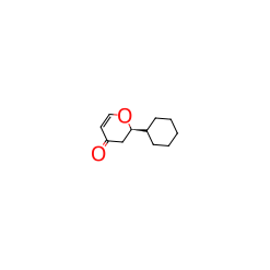 O=C1C=CO[C@@H](C2CCCCC2)C1